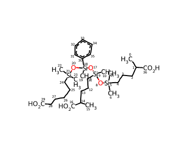 CC(CCC[Si](C)(C)O[Si](C)(CCCC(C)C(=O)O)O[Si](C)(O[Si](C)(C)CCCCCC(=O)O)c1ccccc1)C(=O)O